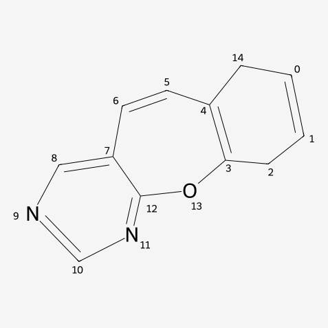 C1=CCC2=C(C=Cc3cncnc3O2)C1